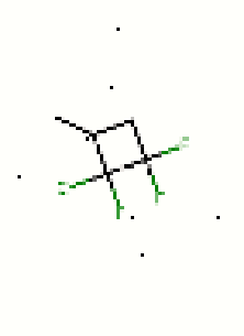 CC1CC(F)(F)C1(F)Cl